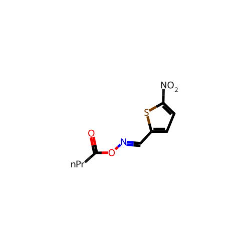 CCCC(=O)ON=Cc1ccc([N+](=O)[O-])s1